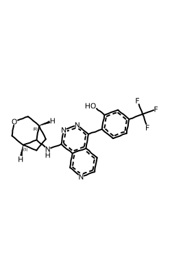 Oc1cc(C(F)(F)F)ccc1-c1nnc(NC2[C@@H]3CC[C@H]2COC3)c2cnccc12